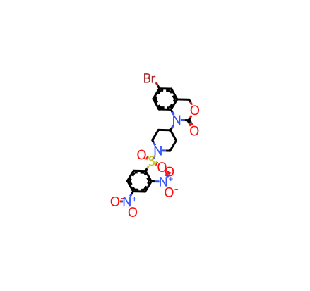 O=C1OCc2cc(Br)ccc2N1C1CCN(S(=O)(=O)c2ccc([N+](=O)[O-])cc2[N+](=O)[O-])CC1